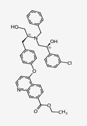 CCOC(=O)c1ccc2c(Oc3ccc(C[C@@H](CO)N(Cc4ccccc4)C[C@@H](O)c4cccc(Cl)c4)cc3)ccnc2c1